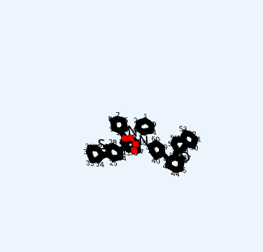 c1ccc(-n2c3ccccc3c3ccccc32)c(N(c2ccc(-c3ccc4c(c3)sc3ccccc34)cc2)c2ccc(-c3cccc4oc5c6ccccc6ccc5c34)cc2)c1